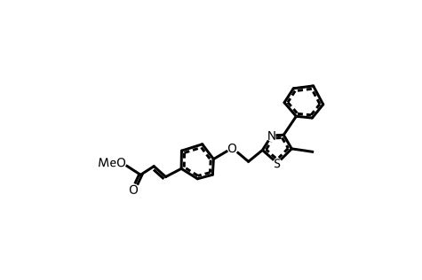 COC(=O)C=Cc1ccc(OCc2nc(-c3ccccc3)c(C)s2)cc1